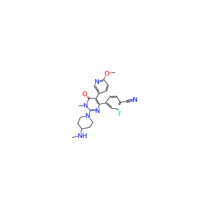 C=C(C#N)/C=C\C(=C/CF)c1nc(N2CCC(NC)CC2)n(C)c(=O)c1-c1ccc(OC)nc1